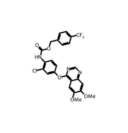 COc1cc2ncnc(Oc3ccc(NC(=O)OCc4ccc(C(F)(F)F)cc4)c(Cl)c3)c2cc1OC